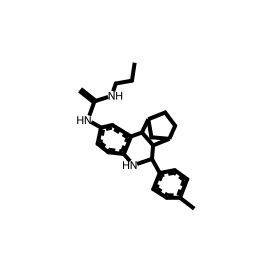 C=C(NCCC)Nc1ccc2c(c1)C1C3CCC(C3)C1C(c1ccc(C)cc1)N2